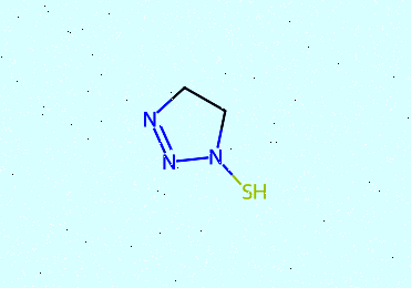 SN1CCN=N1